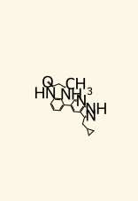 C[C@@H]1CC(=O)Nc2cccc(-c3cnc4[nH]nc(CC5CC5)c4c3)c2N1